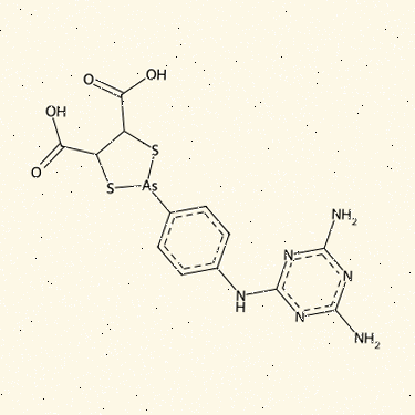 Nc1nc(N)nc(Nc2ccc([As]3SC(C(=O)O)C(C(=O)O)S3)cc2)n1